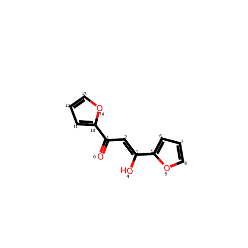 O=C(/C=C(\O)c1ccco1)c1ccco1